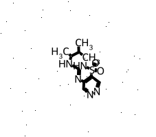 CC(C)C(C)NC1=Nc2cnncc2S(=O)(=O)N1